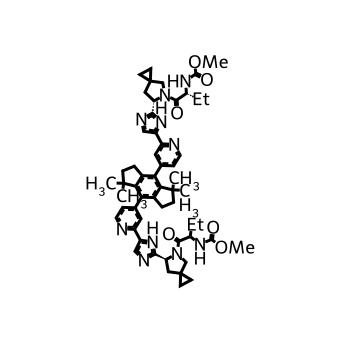 CCC(NC(=O)OC)C(=O)N1CC2(CC2)C[C@H]1c1ncc(-c2cc(-c3c4c(c(-c5ccnc(-c6cnc([C@@H]7CC8(CC8)CN7C(=O)[C@@H](CC)NC(=O)OC)[nH]6)c5)c5c3C(C)(C)CC5)C(C)(C)CC4)ccn2)[nH]1